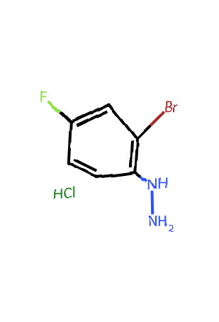 Cl.NNc1ccc(F)cc1Br